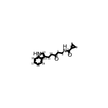 O=C(CCNC(=O)C1CC1)CCc1c[nH]c2ccccc12